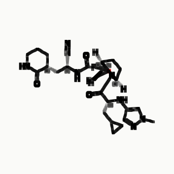 Cn1cc(N[C@H](CC2CC2)C(=O)N2[C@@H]3CC[C@H]([C@H]2C(=O)N[C@@H](C#N)C[C@H]2CCCNC2=O)C(F)(F)C3)cn1